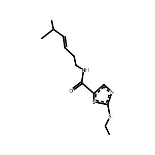 CCSc1ncc(C(=O)NCC/C=C/C(C)C)s1